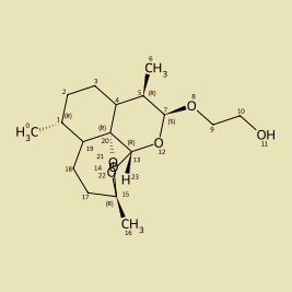 C[C@@H]1CCC2[C@@H](C)[C@@H](OCCO)O[C@@H]3O[C@@]4(C)CCC1[C@@]23OO4